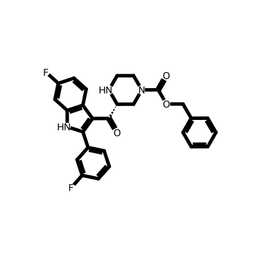 O=C(c1c(-c2cccc(F)c2)[nH]c2cc(F)ccc12)[C@H]1CN(C(=O)OCc2ccccc2)CCN1